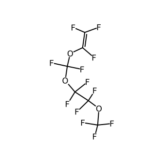 FC(F)=C(F)OC(F)(F)OC(F)(F)C(F)(F)OC(F)(F)F